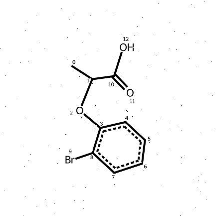 CC(Oc1ccccc1Br)C(=O)O